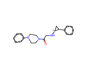 O=C(CN[C@H]1CC1c1ccccc1)N1CCN(c2ccccc2)CC1